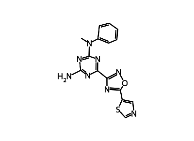 CN(c1ccccc1)c1nc(N)nc(-c2noc(-c3cncs3)n2)n1